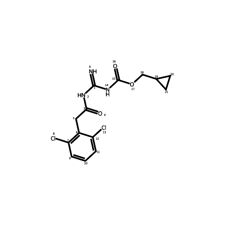 N=C(NC(=O)Cc1c(Cl)cccc1Cl)NC(=O)OCC1CC1